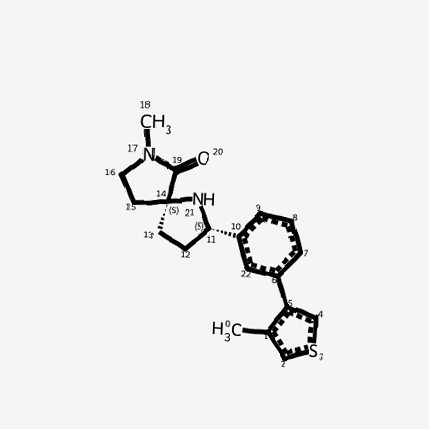 Cc1cscc1-c1cccc([C@@H]2CC[C@@]3(CCN(C)C3=O)N2)c1